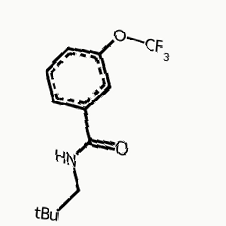 CC(C)(C)CNC(=O)c1cccc(OC(F)(F)F)c1